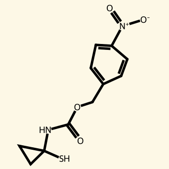 O=C(NC1(S)CC1)OCc1ccc([N+](=O)[O-])cc1